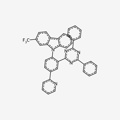 FC(F)(F)c1ccc2c3ccccc3n(-c3ccc(-c4ccccn4)cc3-c3nc(-c4ccccc4)nc(-c4ccccc4)n3)c2c1